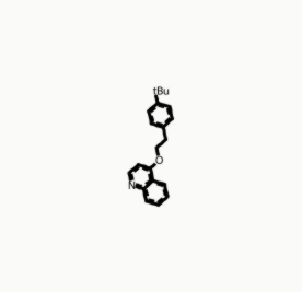 CC(C)(C)c1ccc(CCOc2ccnc3ccccc23)cc1